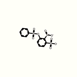 [O]S(=O)(=O)c1cccc(OS(=O)(=O)c2ccccc2)c1[N+](=O)[O-]